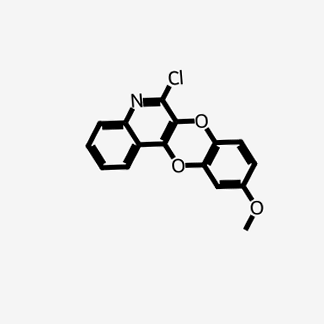 COc1ccc2c(c1)Oc1c(c(Cl)nc3ccccc13)O2